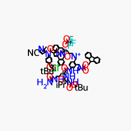 Cc1c(N(C(=O)c2cc(-c3cc(Cl)ccc3C(=O)N3Cc4ccccc4C[C@H]3CCC[N+](C)(C)Cc3ccc(NC(=O)[C@@H](CCCNC(N)=O)NC(=O)[C@H](NC(=O)OC(C)(C)C)C(C)C)cc3CN(C)C(=O)OCC3c4ccccc4-c4ccccc43)n(C)c2C)c2ccc(O[Si](C)(C)C(C)(C)C)cc2)cc(C#N)n1C.O=C([O-])C(F)(F)F